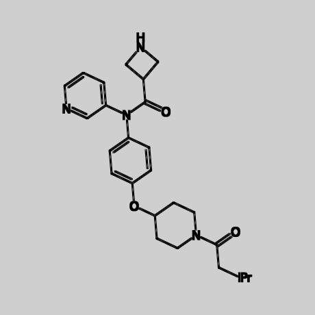 CC(C)CC(=O)N1CCC(Oc2ccc(N(C(=O)C3CNC3)c3cccnc3)cc2)CC1